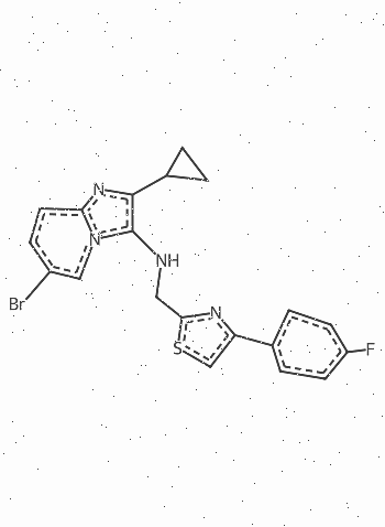 Fc1ccc(-c2csc(CNc3c(C4CC4)nc4ccc(Br)cn34)n2)cc1